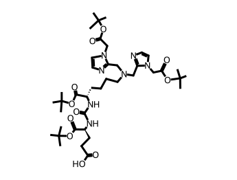 CC(C)(C)OC(=O)Cn1ccnc1CN(CCCC[C@H](NC(=O)N[C@@H](CCC(=O)O)C(=O)OC(C)(C)C)C(=O)OC(C)(C)C)Cc1nccn1CC(=O)OC(C)(C)C